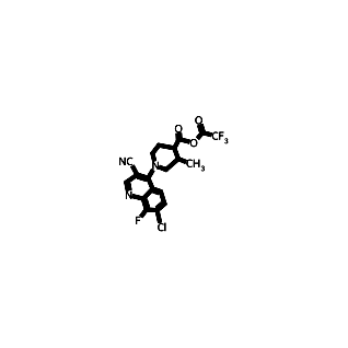 CC1CN(c2c(C#N)cnc3c(F)c(Cl)ccc23)CCC1C(=O)OC(=O)C(F)(F)F